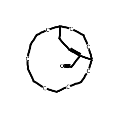 O=C/C1=C/CC2CCCCCCCCCCCC1CCC2